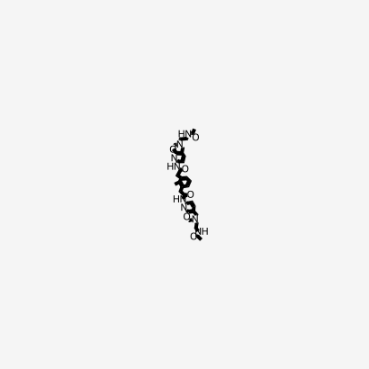 CC(=O)NCCN1COc2nc(NC(=O)Cc3cccc(CC(=O)Nc4ccc5c(n4)OCN(CCNC(C)=O)C5)c3C)ccc2C1